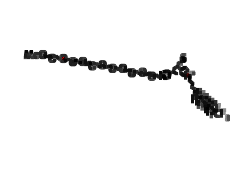 COCCOCCOCCOCCOCCOCCOCCOCCOCCOCCOCCOCC[n+]1ccc(C(C)CC(CP=S)c2cc[n+](CCCCCCC(F)(F)C(F)(F)C(F)(F)C(F)(F)C(F)(F)C(F)(F)C(F)(F)C(F)(F)F)cc2)cc1